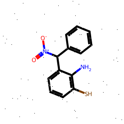 Nc1c(S)cccc1C(c1ccccc1)[N+](=O)[O-]